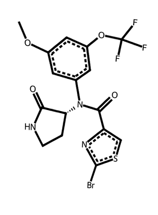 COc1cc(OC(F)(F)F)cc(N(C(=O)c2csc(Br)n2)[C@@H]2CCNC2=O)c1